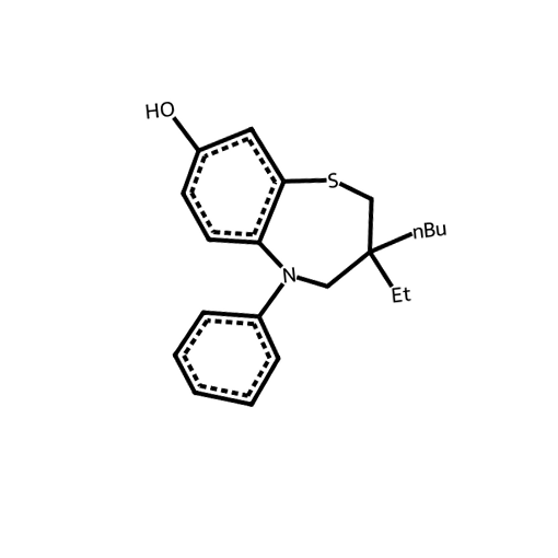 CCCCC1(CC)CSc2cc(O)ccc2N(c2ccccc2)C1